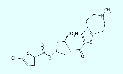 CN1CCc2cc(C(=O)N3C[C@H](NC(=O)c4ccc(Cl)s4)C[C@H]3C(=O)O)sc2CC1